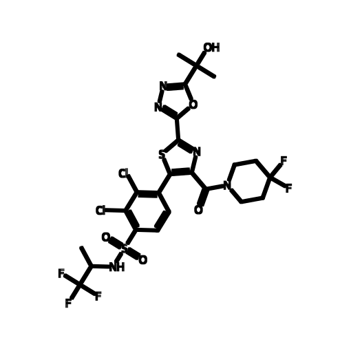 CC(NS(=O)(=O)c1ccc(-c2sc(-c3nnc(C(C)(C)O)o3)nc2C(=O)N2CCC(F)(F)CC2)c(Cl)c1Cl)C(F)(F)F